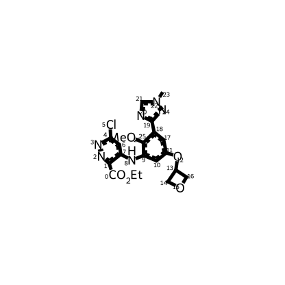 CCOC(=O)c1nnc(Cl)cc1Nc1cc(OC2COC2)cc(-c2ncn(C)n2)c1OC